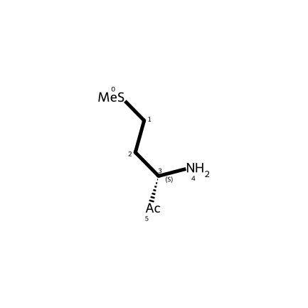 CSCC[C@H](N)C(C)=O